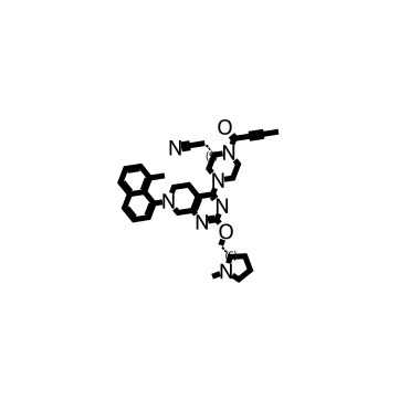 CC#CC(=O)N1CCN(c2nc(OC[C@@H]3CCCN3C)nc3c2CCN(c2cccc4cccc(C)c24)C3)C[C@@H]1CC#N